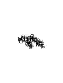 CN(C#N)c1cc2c(cc1Cl)N(C(=O)OC(C)(C)C)CC(C(=O)N1CCC(C#N)(Cc3ccc(F)cc3)CC1)O2